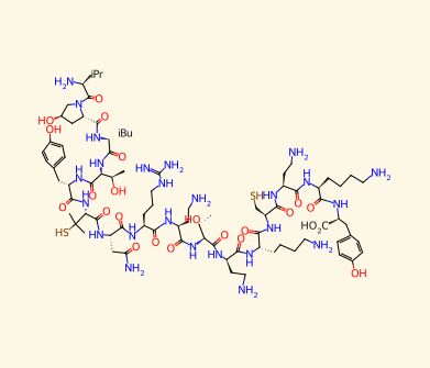 CC[C@H](C)[C@H](NC(=O)[C@@H]1C[C@@H](O)CN1C(=O)[C@@H](N)C(C)C)C(=O)N[C@H](C(=O)N[C@@H](Cc1ccc(O)cc1)C(=O)N[C@H](C(=O)N[C@@H](CC(N)=O)C(=O)N[C@@H](CCCNC(=N)N)C(=O)N[C@@H](CCN)C(=O)N[C@H](C(=O)N[C@H](CCN)C(=O)N[C@@H](CCCCN)C(=O)N[C@@H](CS)C(=O)N[C@@H](CCN)C(=O)N[C@@H](CCCCN)C(=O)N[C@@H](Cc1ccc(O)cc1)C(=O)O)[C@@H](C)O)C(C)(C)S)[C@@H](C)O